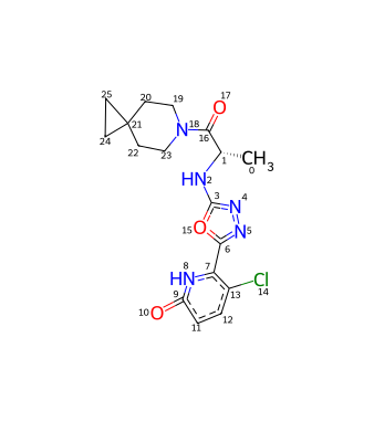 C[C@H](Nc1nnc(-c2[nH]c(=O)ccc2Cl)o1)C(=O)N1CCC2(CC1)CC2